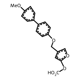 COc1ccc(-c2ccc(OCc3coc(OC(=O)O)c3)cc2)cc1